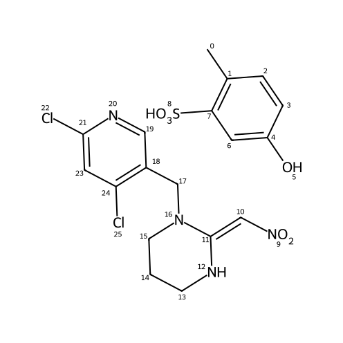 Cc1ccc(O)cc1S(=O)(=O)O.O=[N+]([O-])C=C1NCCCN1Cc1cnc(Cl)cc1Cl